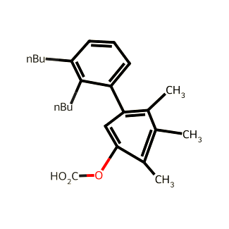 CCCCc1cccc(-c2cc(OC(=O)O)c(C)c(C)c2C)c1CCCC